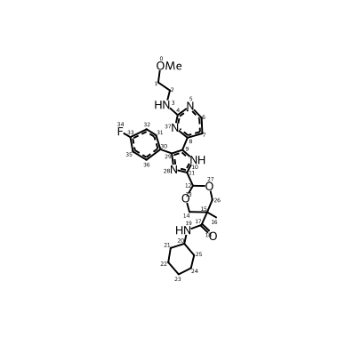 COCCNc1nccc(-c2[nH]c(C3OCC(C)(C(=O)NC4CCCCC4)CO3)nc2-c2ccc(F)cc2)n1